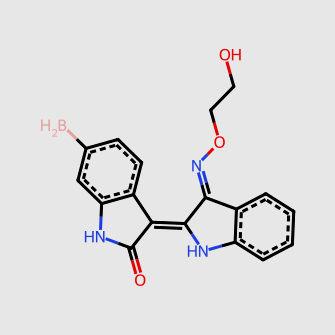 Bc1ccc2c(c1)NC(=O)/C2=C1\Nc2ccccc2\C1=N/OCCO